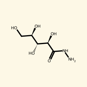 NNC(=O)[C@H](O)[C@H](O)[C@H](O)CO